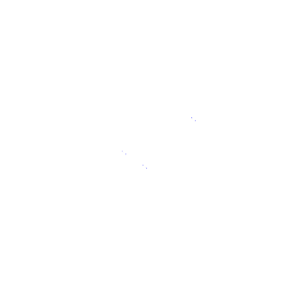 CNNC(C)CN